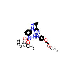 COCCOc1ccc(Nc2ncc(C3CC3)c(Nc3cccc(NC(=O)OC(C)(C)C)c3)n2)cc1